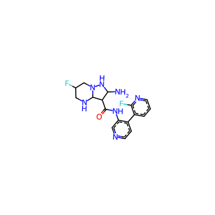 NC1NN2CC(F)CNC2C1C(=O)Nc1cnccc1-c1cccnc1F